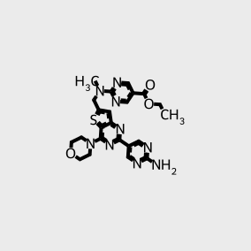 CCOC(=O)c1cnc(N(C)Cc2cc3nc(-c4cnc(N)nc4)nc(N4CCOCC4)c3s2)nc1